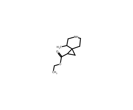 CCOC(=O)C1CC12CCNCC2C